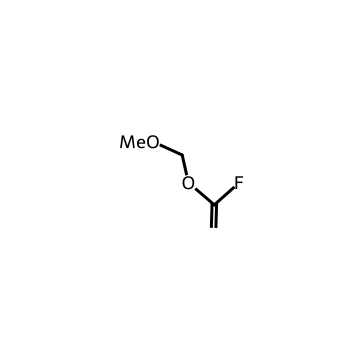 C=C(F)OCOC